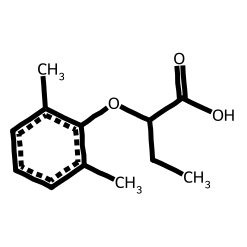 CCC(Oc1c(C)cccc1C)C(=O)O